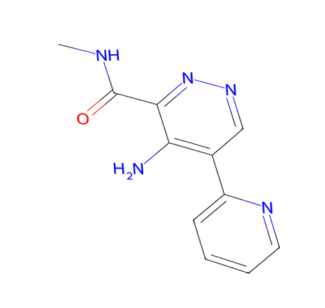 CNC(=O)c1nncc(-c2ccccn2)c1N